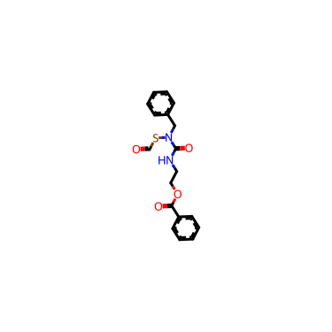 O=CSN(Cc1ccccc1)C(=O)NCCOC(=O)c1ccccc1